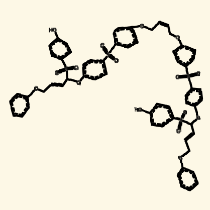 O=S(=O)(c1ccc(OC/C=C\COc2ccc(S(=O)(=O)c3ccc(OC(/C=C/COc4ccccc4)S(=O)(=O)c4ccc(O)cc4)cc3)cc2)cc1)c1ccc(OC(/C=C/COc2ccccc2)S(=O)(=O)c2ccc(O)cc2)cc1